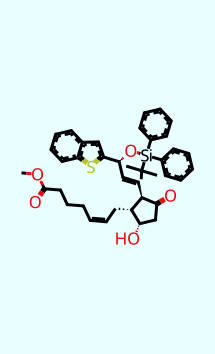 COC(=O)CCC/C=C\C[C@H]1[C@@H](O)CC(=O)[C@@H]1/C=C/[C@@H](O[Si](c1ccccc1)(c1ccccc1)C(C)(C)C)c1cc2ccccc2s1